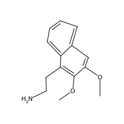 COc1cc2ccccc2c(CCN)c1OC